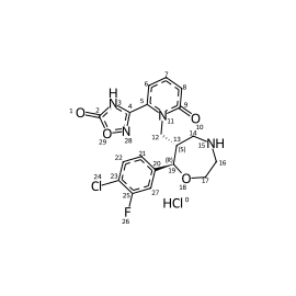 Cl.O=c1[nH]c(-c2cccc(=O)n2C[C@@H]2CNCCO[C@H]2c2ccc(Cl)c(F)c2)no1